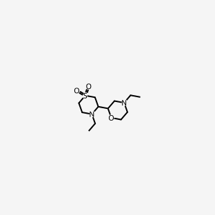 CCN1CCOC(C2CS(=O)(=O)CCN2CC)C1